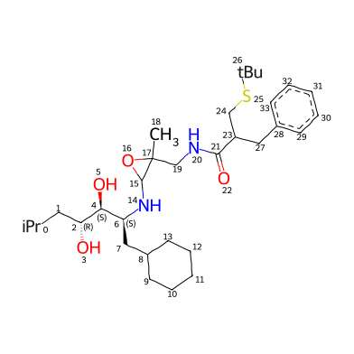 CC(C)C[C@@H](O)[C@@H](O)[C@H](CC1CCCCC1)NC1OC1(C)CNC(=O)C(CSC(C)(C)C)Cc1ccccc1